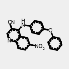 N#Cc1cnc2ccc([N+](=O)[O-])cc2c1Nc1ccc(Oc2ccccc2)cc1